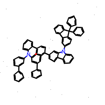 c1ccc(-c2cccc(N(c3cccc(-c4ccccc4)c3)c3ccccc3-c3ccc(-c4ccc5c6ccccc6n(-c6ccc7c(c6)-c6ccccc6C7(c6ccccc6)c6ccccc6)c5c4)cc3)c2)cc1